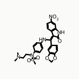 CN(C)CCN(c1ccc(NC(=C2C(=O)Nc3cc([N+](=O)[O-])ccc32)c2ccc3c(c2)OCO3)cc1)S(C)(=O)=O